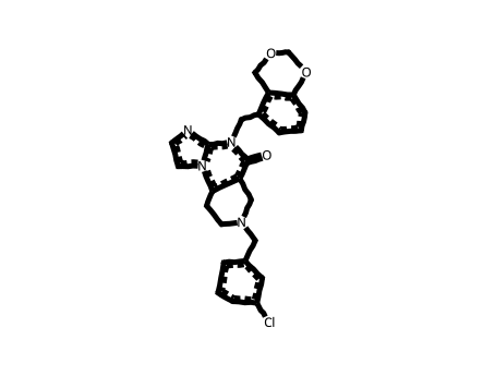 O=c1c2c(n3ccnc3n1Cc1cccc3c1COCO3)CCN(Cc1cccc(Cl)c1)C2